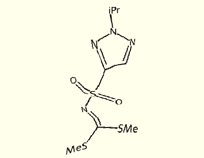 CSC(=NS(=O)(=O)c1cnn(C(C)C)n1)SC